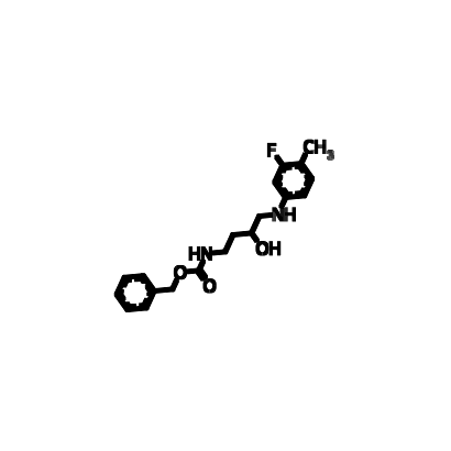 Cc1ccc(NCC(O)CCNC(=O)OCc2ccccc2)cc1F